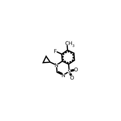 Cc1ccc2c(c1F)N(C1CC1)C=NS2(=O)=O